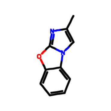 Cc1cn2c(n1)oc1ccccc12